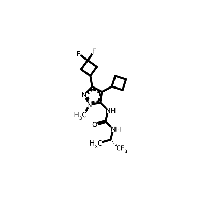 C[C@H](NC(=O)Nc1c(C2CCC2)c(C2CC(F)(F)C2)nn1C)C(F)(F)F